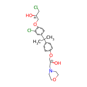 CC(C)(c1ccc(OC[C@@H](O)CN2CCOCC2)cc1)c1ccc(OC[C@@H](O)CCl)c(Cl)c1